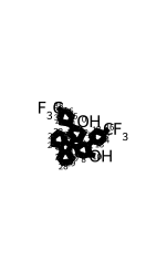 Oc1ccc(C2(c3ccc(O)c(-c4ccc(C(F)(F)F)cc4)c3)c3ccccc3-c3ccccc32)cc1-c1ccc(C(F)(F)F)cc1